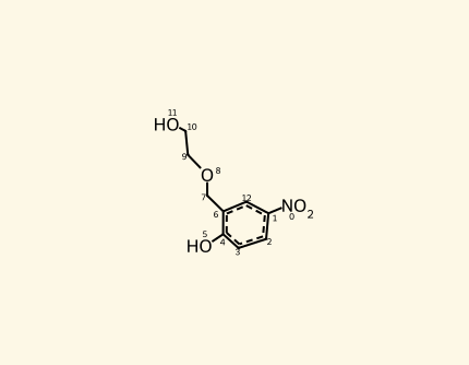 O=[N+]([O-])c1ccc(O)c(COCCO)c1